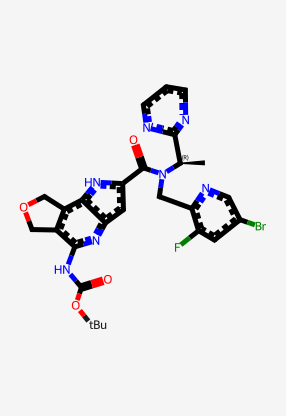 C[C@H](c1ncccn1)N(Cc1ncc(Br)cc1F)C(=O)c1cc2nc(NC(=O)OC(C)(C)C)c3c(c2[nH]1)COC3